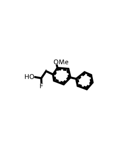 COc1cc(-c2ccccc2)ccc1[CH]C(O)F